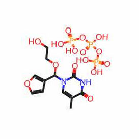 Cc1cn(C(OCCO)c2ccoc2)c(=O)[nH]c1=O.O=P(O)(O)OP(=O)(O)OP(=O)(O)O